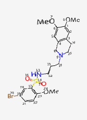 COc1cc2c(cc1OC)CN(CCCNS(=O)(=O)c1cc(Br)ccc1OC)CC2